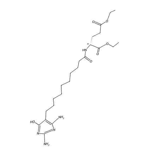 CCOC(=O)CC[C@@H](NC(=O)CCCCCCCCCc1c(N)nc(N)nc1O)C(=O)OCC